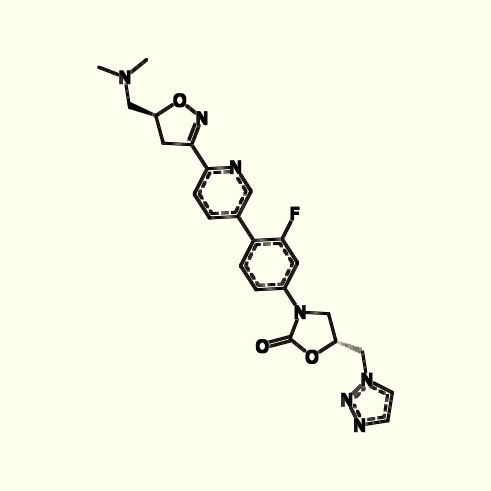 CN(C)C[C@@H]1CC(c2ccc(-c3ccc(N4C[C@H](Cn5ccnn5)OC4=O)cc3F)cn2)=NO1